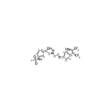 CS(=O)(=O)Nc1cccc(C(O)CNCCOc2ccc3c(C(F)(F)F)c(C(F)(F)F)[nH]c3c2)c1